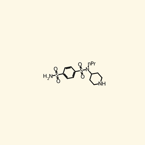 CCCN(C1CCNCC1)S(=O)(=O)c1ccc(S(N)(=O)=O)cc1